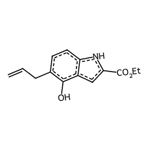 C=CCc1ccc2[nH]c(C(=O)OCC)cc2c1O